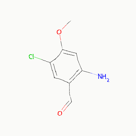 COc1cc(N)c(C=O)cc1Cl